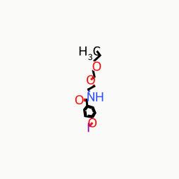 CCCOCCOCCNC(=O)c1ccc(OI)cc1